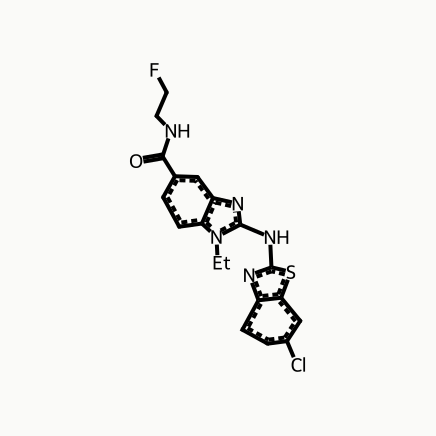 CCn1c(Nc2nc3ccc(Cl)cc3s2)nc2cc(C(=O)NCCF)ccc21